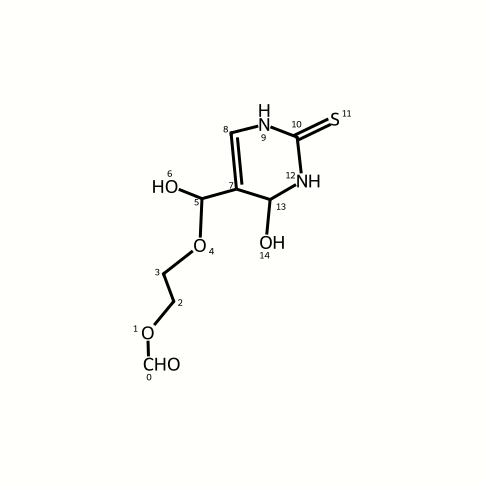 O=COCCOC(O)C1=CNC(=S)NC1O